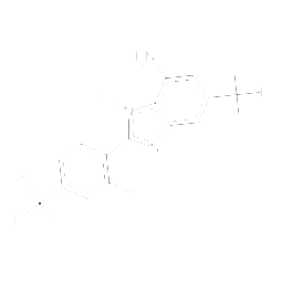 Cn1c(-c2ccc(C(F)(F)F)cc2F)nc2cc(C(F)(F)F)cc(N)c21